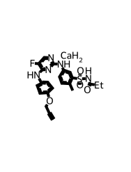 C#CCOc1ccc(Nc2nc(Nc3ccc(C)c(S(=O)(=O)NC(=O)CC)c3)ncc2F)cc1.[CaH2]